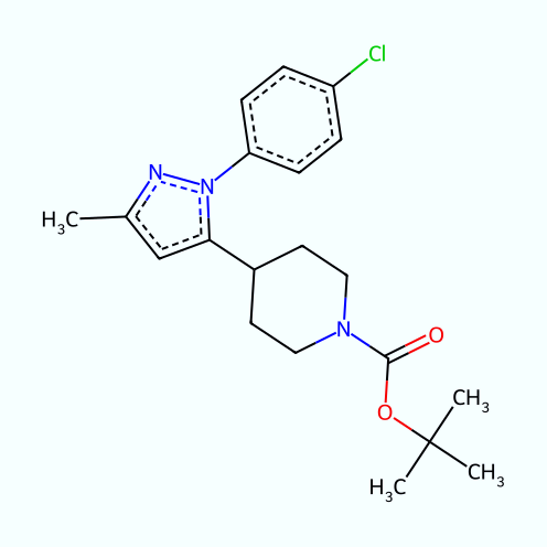 Cc1cc(C2CCN(C(=O)OC(C)(C)C)CC2)n(-c2ccc(Cl)cc2)n1